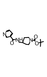 CC(C)(C)OC(=O)N1CCC(CNC(=O)c2cccnc2)CC1